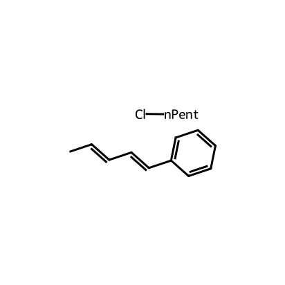 CC=CC=Cc1ccccc1.CCCCCCl